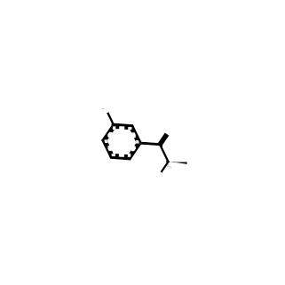 C[C@@H](O)C(=O)c1cccc(Br)c1